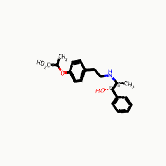 CC(Oc1ccc(CCN[C@@H](C)[C@@H](O)c2ccccc2)cc1)C(=O)O